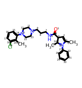 CC1=CC(C(=O)NCCCN2CCN(c3cccc(Cl)c3C)CC2)C(C)N1c1ccccc1